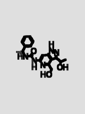 CC(O)c1n[nH]c2cc(NC(=O)N[C@H](C)c3ccccc3)nc(CO)c12